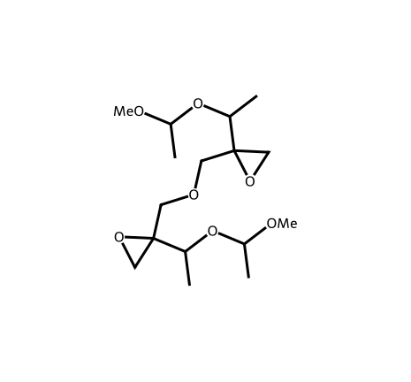 COC(C)OC(C)C1(COCC2(C(C)OC(C)OC)CO2)CO1